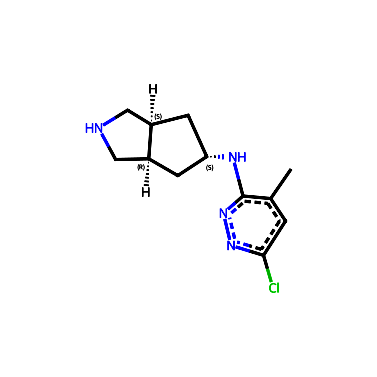 Cc1cc(Cl)nnc1N[C@@H]1C[C@H]2CNC[C@H]2C1